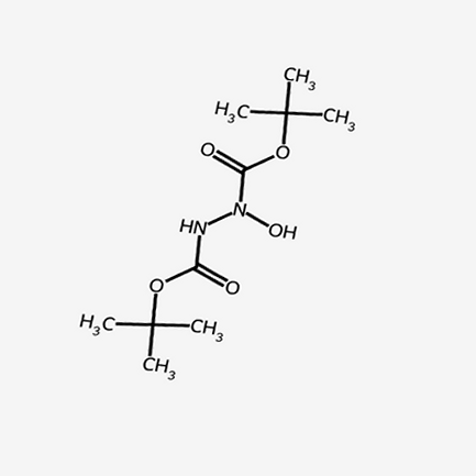 CC(C)(C)OC(=O)NN(O)C(=O)OC(C)(C)C